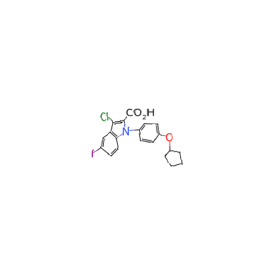 O=C(O)c1c(Cl)c2cc(I)ccc2n1-c1ccc(OC2CCCC2)cc1